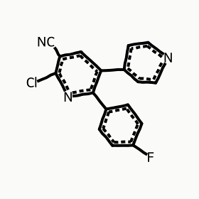 N#Cc1cc(-c2ccncc2)c(-c2ccc(F)cc2)nc1Cl